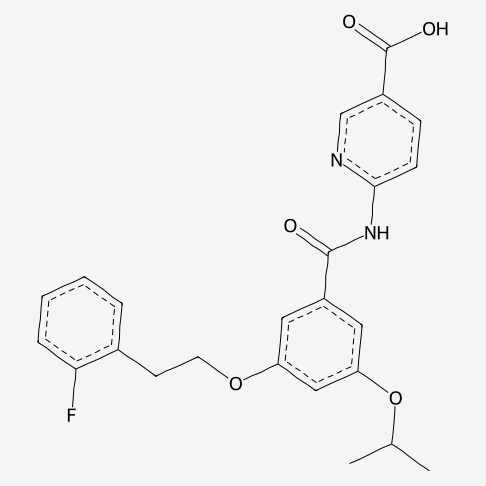 CC(C)Oc1cc(OCCc2ccccc2F)cc(C(=O)Nc2ccc(C(=O)O)cn2)c1